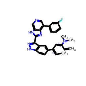 C=C/C(=C\C(=C/C)c1ccc2[nH]nc(-c3nc4c(-c5cccc(F)c5)cncc4[nH]3)c2c1)N(C)C